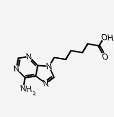 Nc1ncnc2c1ncn2CCCCCC(=O)O